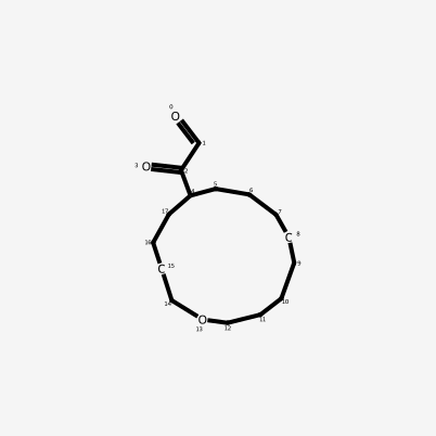 O=CC(=O)C1CCCCCCCCOCCCC1